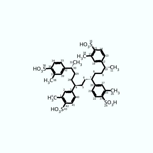 Cc1cc([C@H](CC[C@H](CC[C@@H](C)c2ccc(S(=O)(=O)O)c(C)c2)c2ccc(S(=O)(=O)O)c(C)c2)CC[C@@H](C)c2ccc(S(=O)(=O)O)c(C)c2)ccc1S(=O)(=O)O